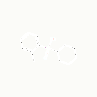 Cc1ccccc1P(=O)(O)C1CCCCC1